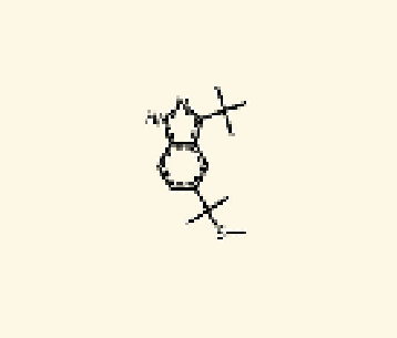 CSC(C)(C)c1ccc2[nH]nc(C(C)(C)C)c2c1